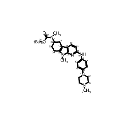 CN1CCN(c2ccc(Nc3ccc4c5c(n(C)c4n3)CCC(N(C)C(=O)OC(C)(C)C)C5)cc2)CC1